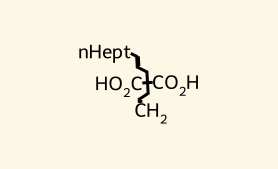 C=CCC(CC=CCCCCCCC)(C(=O)O)C(=O)O